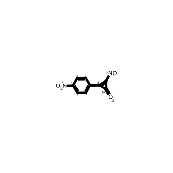 O=Nc1c(-c2ccc([N+](=O)[O-])cc2)c1=O